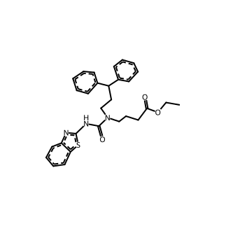 CCOC(=O)CCCN(CCC(c1ccccc1)c1ccccc1)C(=O)Nc1nc2ccccc2s1